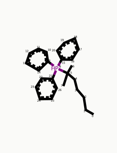 CCCCCC(C)(C)[PH](c1ccccc1)(c1ccccc1)c1ccccc1